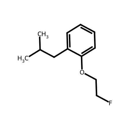 CC(C)Cc1ccccc1OCCF